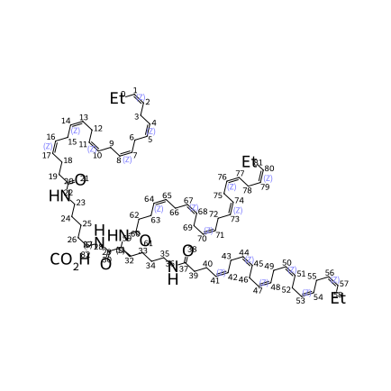 CC/C=C\C/C=C\C/C=C\C/C=C\C/C=C\C/C=C\CCC(=O)NCCCC[C@H](NC(=O)[C@H](CCCCNC(=O)CC/C=C\C/C=C\C/C=C\C/C=C\C/C=C\C/C=C\CC)NC(=O)CC/C=C\C/C=C\C/C=C\C/C=C\C/C=C\C/C=C\CC)C(=O)O